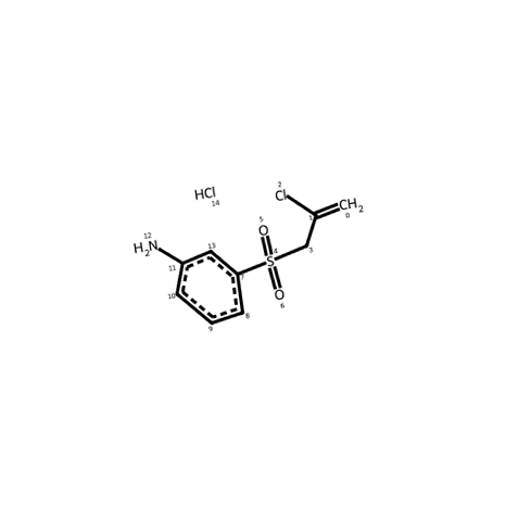 C=C(Cl)CS(=O)(=O)c1cccc(N)c1.Cl